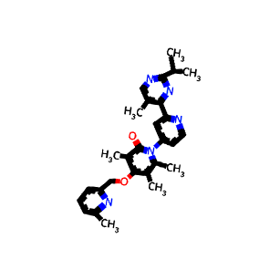 Cc1cccc(COc2c(C)c(C)n(-c3ccnc(-c4nc(C(C)C)ncc4C)c3)c(=O)c2C)n1